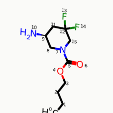 CCCCOC(=O)N1C[C@@H](N)CC(F)(F)C1